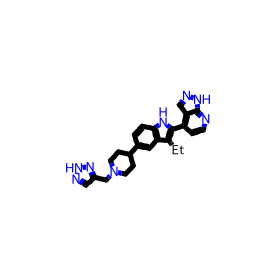 CCc1c(-c2ccnc3[nH]ncc23)[nH]c2ccc(C3CCN(Cc4cn[nH]n4)CC3)cc12